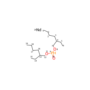 CCCCC(CC)CO[PH](=O)OCC(CC)CCCC.[Nd]